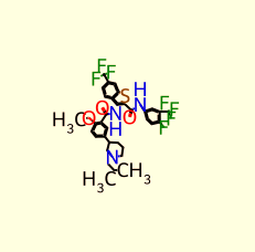 COc1ccc(C2CCCN(CC(C)C)C2)cc1C(=O)Nc1c(C(=O)Nc2ccc(F)c(C(F)(F)F)c2)sc2cc(C(F)(F)F)ccc12